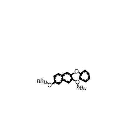 CCCCOc1ccc2cc(Oc3ccccc3)c(OCCCC)cc2c1